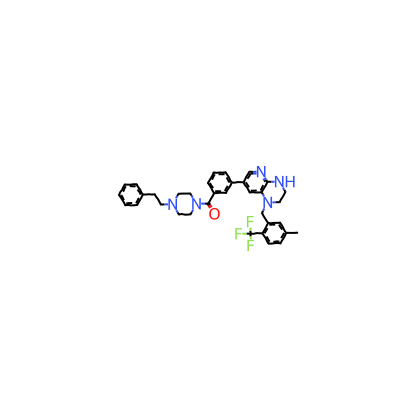 Cc1ccc(C(F)(F)F)c(CN2CCNc3ncc(-c4cccc(C(=O)N5CCN(CCc6ccccc6)CC5)c4)cc32)c1